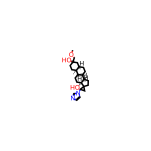 COC[C@@]1(O)CC[C@@]2(C)[C@@H](CC[C@@H]3[C@@H]2CC[C@@]2(C)[C@H]3CCC23CC3(O)n2ccnc2)C1